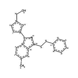 Cc1ccc2c(-c3ccc(CO)o3)nn(CCc3ccccc3)c2c1